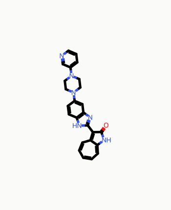 O=c1[nH]c2cccccc-2c1-c1nc2cc(N3CCN(c4cccnc4)CC3)ccc2[nH]1